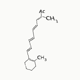 CC(=O)C(C)=CC=CC=CC=CC1=C(C)CCCC1